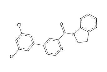 O=C(c1cc(-c2cc(Cl)cc(Cl)c2)ccn1)N1CCc2ccccc21